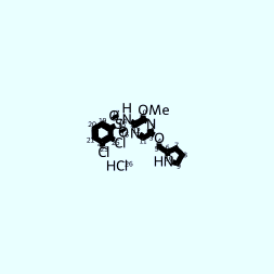 COc1nc(OCC2CCCN2)cnc1NS(=O)(=O)c1cccc(Cl)c1Cl.Cl